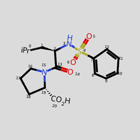 CC(C)C[C@@H](NS(=O)(=O)c1ccccc1)C(=O)N1CCC[C@H]1C(=O)O